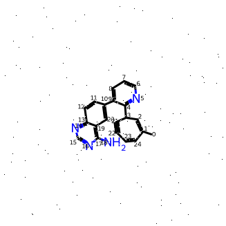 CC1=CC(c2ncccc2-c2ccc3ncnc(N)c3c2)C#CC=C1